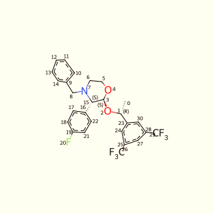 C[C@@H](O[C@@H]1OCCN(Cc2ccccc2)[C@H]1c1ccc(F)cc1)c1cc(C(F)(F)F)cc(C(F)(F)F)c1